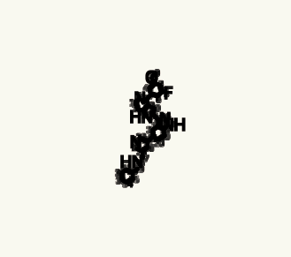 COc1cc(F)cc(-c2nccc3[nH]c(-c4n[nH]c5ccc(-c6cncc(CNCc7ccccc7)c6)cc45)cc23)c1